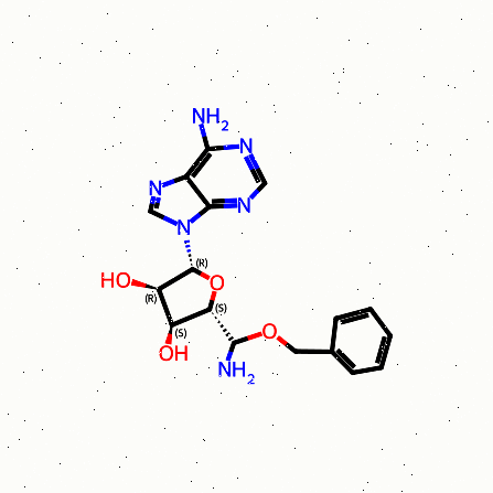 Nc1ncnc2c1ncn2[C@@H]1O[C@H](C(N)OCc2ccccc2)[C@@H](O)[C@H]1O